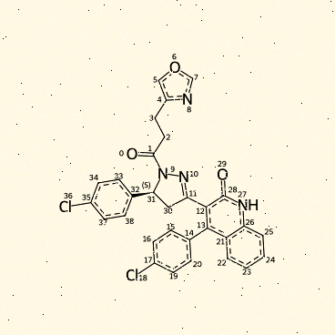 O=C(CCc1cocn1)N1N=C(c2c(-c3ccc(Cl)cc3)c3ccccc3[nH]c2=O)C[C@H]1c1ccc(Cl)cc1